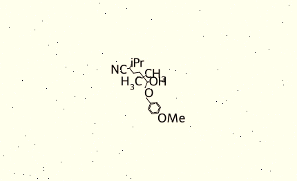 COc1ccc(COC[C@H](O)C(C)(C)CCC(C#N)C(C)C)cc1